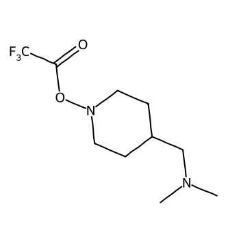 CN(C)CC1CCN(OC(=O)C(F)(F)F)CC1